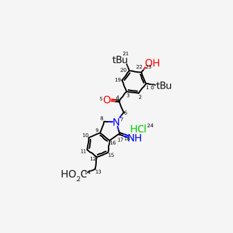 CC(C)(C)c1cc(C(=O)CN2Cc3ccc(CC(=O)O)cc3C2=N)cc(C(C)(C)C)c1O.Cl